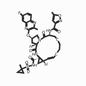 Cc1cc(C(=O)N[C@H]2CCCCC/C=C\[C@@H]3C[C@@]3(C(=O)NS(=O)(=O)C3(C)CC3)NC(=O)[C@@H]3C[C@@H](Oc4nc5cc(F)ccc5nc4C)CN3C2=O)no1